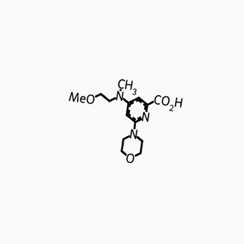 COCCN(C)c1cc(C(=O)O)nc(N2CCOCC2)c1